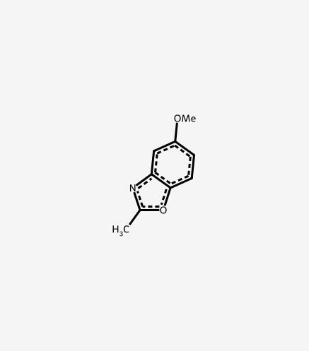 COc1ccc2oc(C)nc2c1